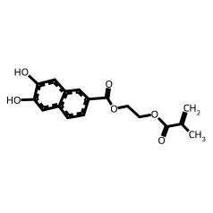 C=C(C)C(=O)OCCOC(=O)c1ccc2cc(O)c(O)cc2c1